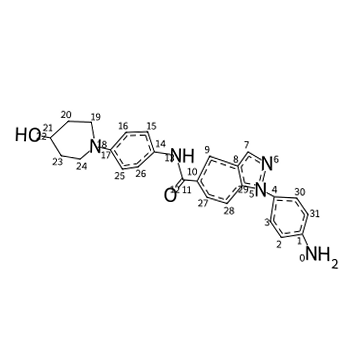 Nc1ccc(-n2ncc3cc(C(=O)Nc4ccc(N5CCC(O)CC5)cc4)ccc32)cc1